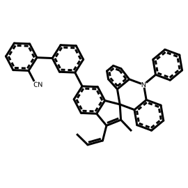 C/C=C\C1=C(C)C2(c3cc(-c4cccc(-c5ccccc5C#N)c4)ccc31)c1ccccc1N(c1ccccc1)c1ccccc12